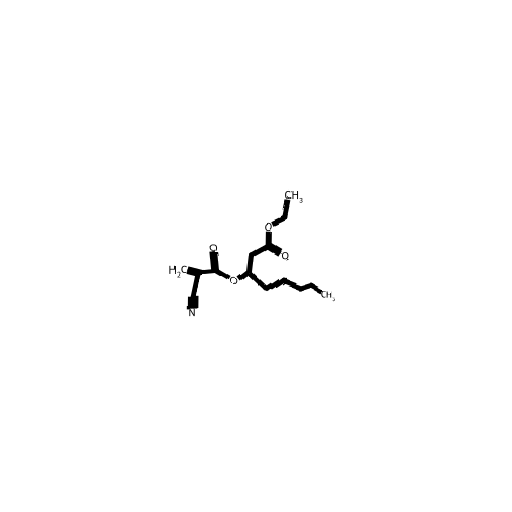 C=C(C#N)C(=O)OC(CCCCC)CC(=O)OCC